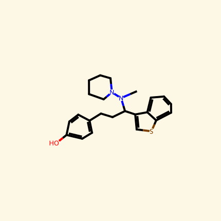 CN(C(CCc1ccc(O)cc1)c1csc2ccccc12)N1CCCCC1